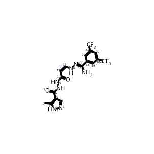 Cc1[nH]ncc1C(=O)NNC(=O)/C=C\N/N=C(\N)c1cc(C(F)(F)F)cc(C(F)(F)F)c1